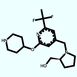 CC(F)(F)c1cc(CN2CCC[C@H]2CO)cc(OC2CCNCC2)n1